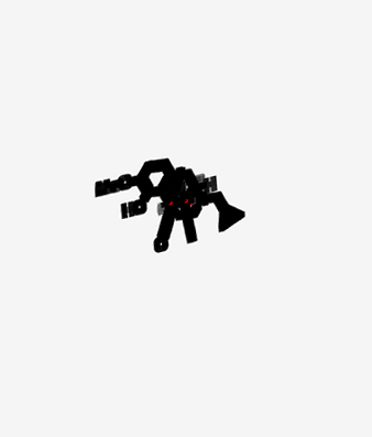 COc1ccc2c(c1O)[C@@]13CCN(CC4CC4)[C@@H](C2)[C@@]1(O)CC(C)C(=O)C3